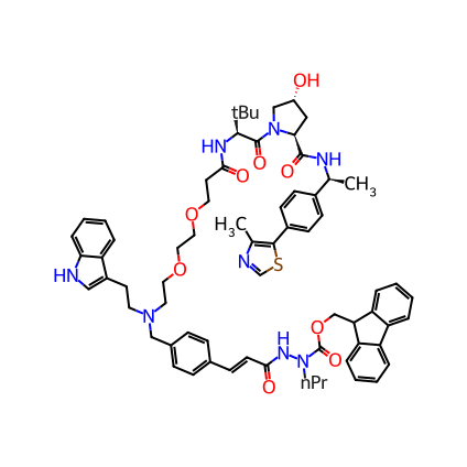 CCCN(NC(=O)/C=C/c1ccc(CN(CCOCCOCCC(=O)N[C@H](C(=O)N2C[C@H](O)C[C@H]2C(=O)N[C@@H](C)c2ccc(-c3scnc3C)cc2)C(C)(C)C)CCc2c[nH]c3ccccc23)cc1)C(=O)OCC1c2ccccc2-c2ccccc21